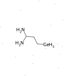 NC(N)C[CH2][GeH3]